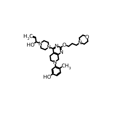 C=CC(O)N1CCN(c2nc(OCCCN3CCOCC3)nc3c2CCN(c2cc(O)ccc2C)C3)CC1